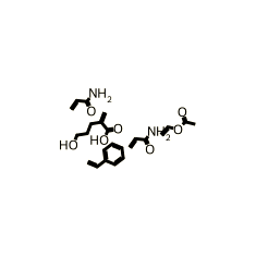 C=C(CCCO)C(=O)O.C=CC(N)=O.C=CC(N)=O.C=COC(C)=O.C=Cc1ccccc1